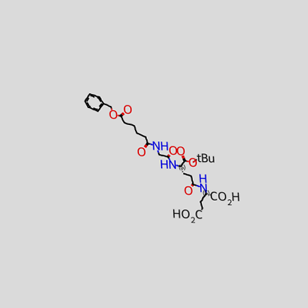 CC(C)(C)OC(=O)[C@H](CCC(=O)N[C@@H](CCC(=O)O)C(=O)O)NC(=O)CNC(=O)CCCCC(=O)OCc1ccccc1